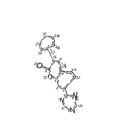 O=c1oc2cc(-c3ncncn3)ccc2cc1-c1ccccc1